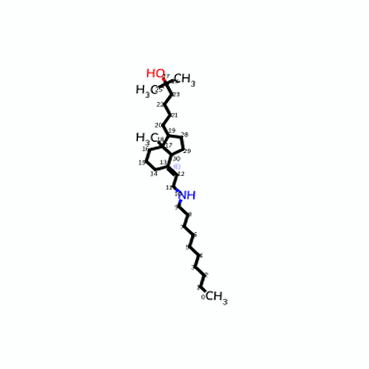 CCCCCCCCCCNC/C=C1\CCCC2(C)C(CCCCC(C)(C)O)CCC12